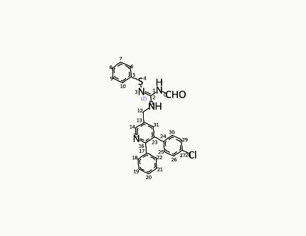 O=CN/C(=N\Sc1ccccc1)NCc1cnc(-c2ccccc2)c(-c2ccc(Cl)cc2)c1